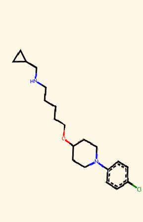 Clc1c[c]c(N2CCC(OCCCCCNCC3CC3)CC2)cc1